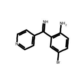 N=C(c1ccncc1)c1cc(Br)ccc1N